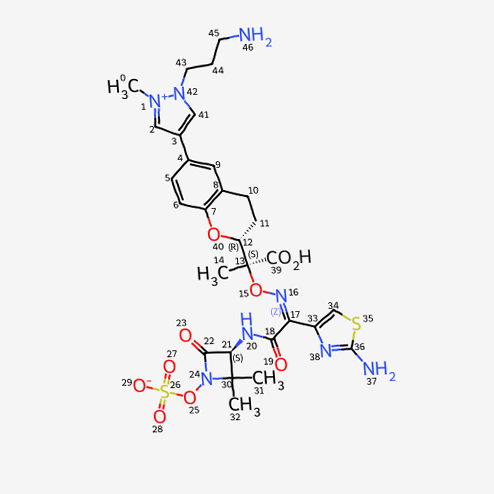 C[n+]1cc(-c2ccc3c(c2)CC[C@H]([C@](C)(O/N=C(\C(=O)N[C@@H]2C(=O)N(OS(=O)(=O)[O-])C2(C)C)c2csc(N)n2)C(=O)O)O3)cn1CCCN